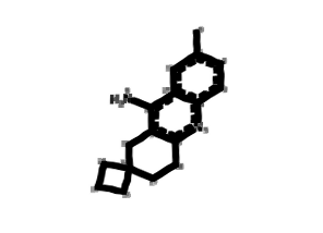 Cc1ccc2nc3c(c(N)c2c1)CC1(CCC1)CC3